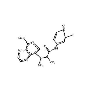 CNc1ncc(C(C)N(C)C(=O)NC2=CC(Cl)C(=O)C=C2)c2nccnc12